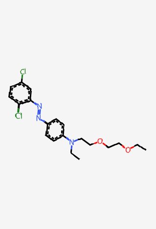 CCOCCOCCN(CC)c1ccc(N=Nc2cc(Cl)ccc2Cl)cc1